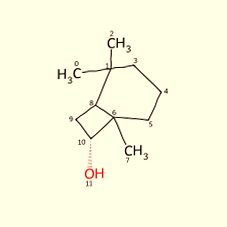 CC1(C)CCCC2(C)C1C[C@H]2O